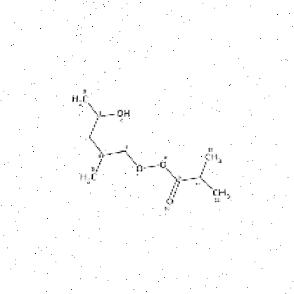 CC(O)CC(C)COOC(=O)C(C)C